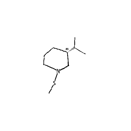 CSN1CCC[C@H](C(C)C)C1